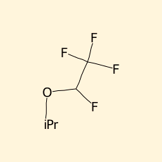 CC(C)OC(F)C(F)(F)F